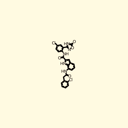 O=C(Cc1ccccc1Cl)Nc1cccc2cc(C(=O)Nc3ccc(Cl)cc3-c3noc(=O)[nH]3)[nH]c12